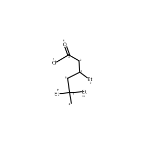 CCC(CC(=O)Cl)CC(C)(CC)CC